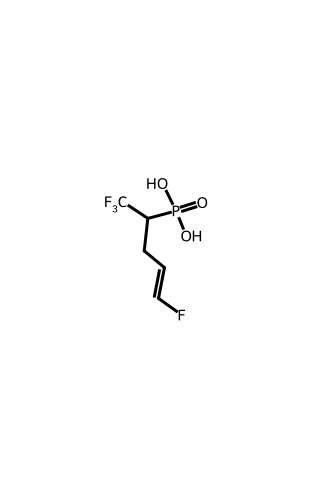 O=P(O)(O)C(CC=CF)C(F)(F)F